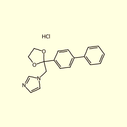 Cl.c1ccc(-c2ccc(C3(Cn4ccnc4)OCCO3)cc2)cc1